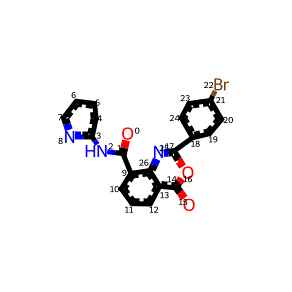 O=C(Nc1ccccn1)c1cccc2c(=O)oc(-c3ccc(Br)cc3)nc12